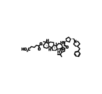 C=C(C)[C@@H]1CC[C@]2(C(=O)N[C@@H]3CC[C@H](CN4CCC(Cc5ccccc5)CC4)C3)CC[C@]3(C)[C@H](CC[C@@H]4[C@@]5(C)CC[C@H](OC(=O)CCCC(=O)O)C(C)(C)[C@@H]5CC[C@]43C)[C@@H]12